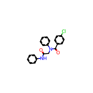 O=C(CN(C(=O)c1ccc(Cl)cc1)c1ccccc1)Nc1ccccc1